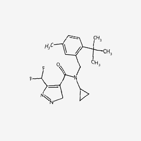 Cc1ccc(C(C)(C)C)c(CN(C(=O)C2=C(C(F)F)N=NC2)C2CC2)c1